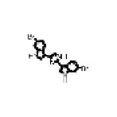 Brc1ccc2c(-c3c[nH]c(-c4c[nH]c5cc(Br)ccc45)n3)c[nH]c2c1